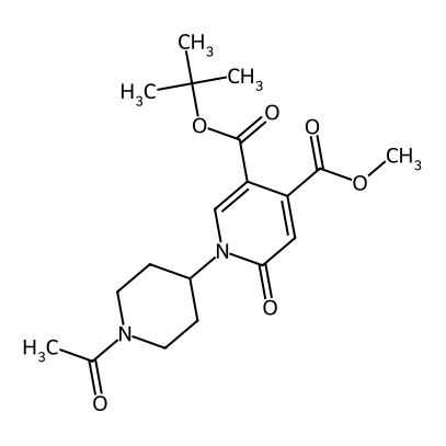 COC(=O)c1cc(=O)n(C2CCN(C(C)=O)CC2)cc1C(=O)OC(C)(C)C